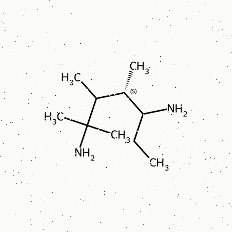 CCC(N)[C@@H](C)C(C)C(C)(C)N